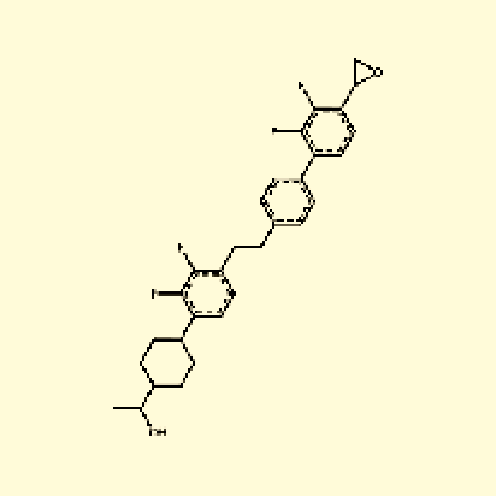 CC(O)C1CCC(c2ccc(CCc3ccc(-c4ccc(C5CO5)c(F)c4F)cc3)c(F)c2F)CC1